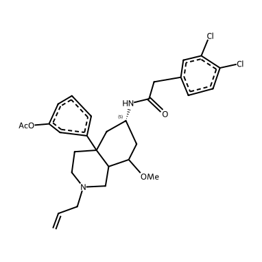 C=CCN1CCC2(c3cccc(OC(C)=O)c3)C[C@H](NC(=O)Cc3ccc(Cl)c(Cl)c3)CC(OC)C2C1